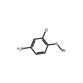 CC(C)Sc1ccc(N)cc1Cl